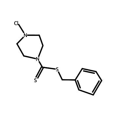 S=C(SCc1ccccc1)N1CCN(Cl)CC1